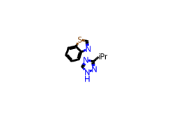 CC(C)c1nc[nH]n1.c1ccc2scnc2c1